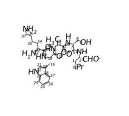 CC(C)C[C@@H]([C]=O)NC(=O)[C@H](CO)NC(=O)[C@H](C)NC(=O)[C@H](Cc1c[nH]c2ccccc12)NC(=O)[C@@H](N)CCCCN